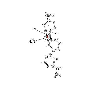 COC1CCC2(CC1)Cc1ccc(-c3cccc(OC(F)(F)F)c3)cc1C21C=C(N)N(C)C1=O